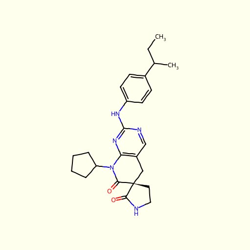 CCC(C)c1ccc(Nc2ncc3c(n2)N(C2CCCC2)C(=O)[C@]2(CCNC2=O)C3)cc1